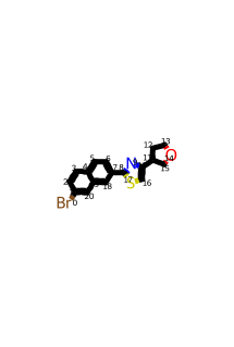 Brc1ccc2ccc(-c3nc(C4CCOC4)cs3)cc2c1